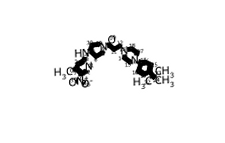 Cc1cc(NC2CCN(C(=O)CCN3CCN(c4ccc(C(C)(C)C)cc4)CC3)CC2)ncc1[N+](=O)[O-]